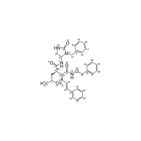 CC(C)C[C@@H](C(=O)NC1CNC(=O)N1Cc1ccccc1)[C@H](CC=Cc1ccccc1)C(=O)NOCc1ccccc1